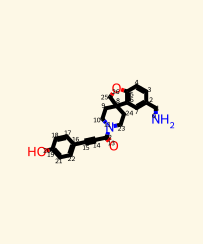 NCc1ccc2c(c1)C1(CCN(C(=O)C#Cc3ccc(O)cc3)CC1)CO2